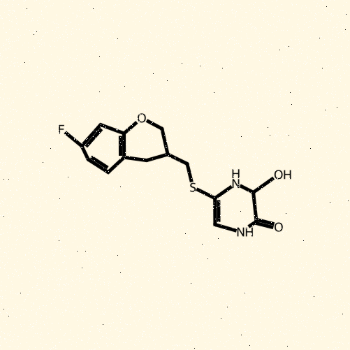 O=C1NC=C(SCC2COc3cc(F)ccc3C2)NC1O